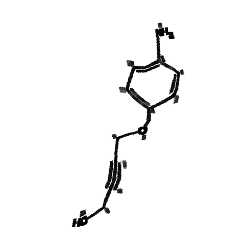 Nc1ccc(OCC#CCO)cc1